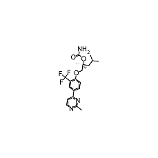 Cc1nccc(-c2ccc(OC[C@](C)(CC(C)C)OC(N)=O)c(C(F)(F)F)c2)n1